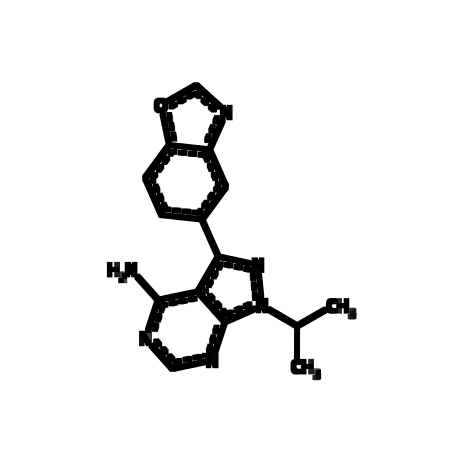 CC(C)n1nc(-c2ccc3ocnc3c2)c2c(N)ncnc21